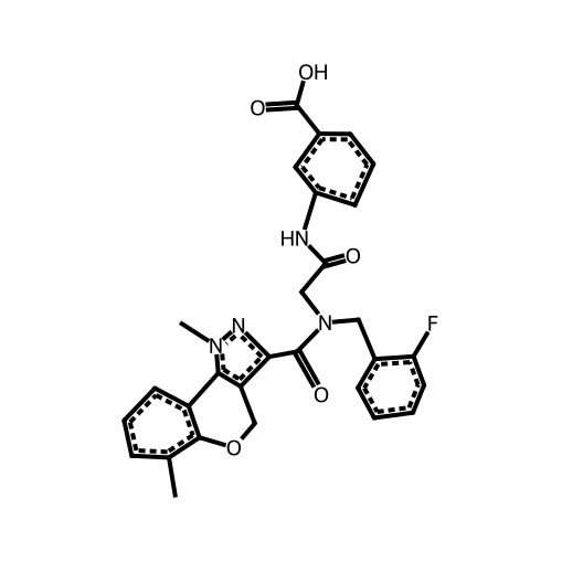 Cc1cccc2c1OCc1c(C(=O)N(CC(=O)Nc3cccc(C(=O)O)c3)Cc3ccccc3F)nn(C)c1-2